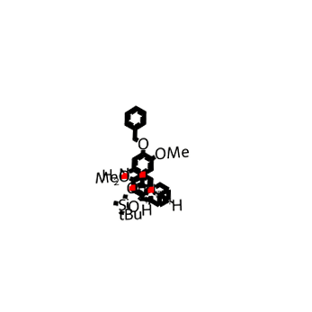 COc1ccc([C@]23C4CN(C(=O)c5cc(OC)c(OCc6ccccc6)cc5N)[C@H](CO[Si](C)(C)C(C)(C)C)C2[C@H]43)cc1